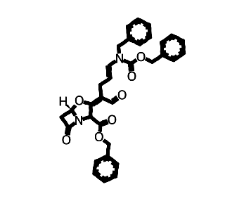 O=CC(CC=CN(Cc1ccccc1)C(=O)OCc1ccccc1)=C1O[C@@H]2CC(=O)N2C1C(=O)OCc1ccccc1